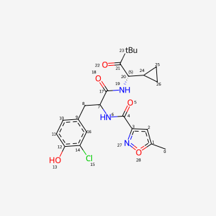 Cc1cc(C(=O)NC(Cc2ccc(O)c(Cl)c2)C(=O)N[C@H](C(=O)C(C)(C)C)C2CC2)no1